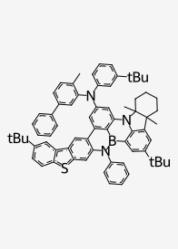 Cc1ccc(-c2ccccc2)cc1N(c1cccc(C(C)(C)C)c1)c1cc2c3c(c1)N1c4c(cc(C(C)(C)C)cc4C4(C)CCCCC14C)B3N(c1ccccc1)c1cc3sc4ccc(C(C)(C)C)cc4c3cc1-2